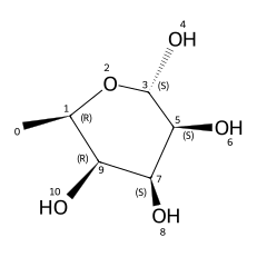 C[C@H]1O[C@H](O)[C@@H](O)[C@@H](O)[C@H]1O